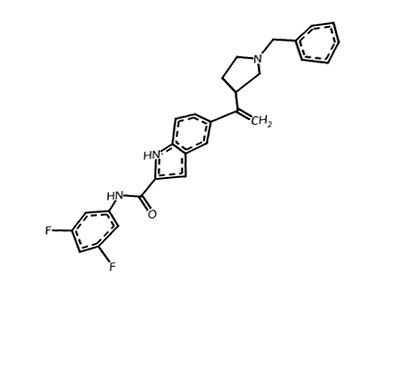 C=C(c1ccc2[nH]c(C(=O)Nc3cc(F)cc(F)c3)cc2c1)C1CCN(Cc2ccccc2)C1